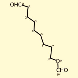 O=CCCCCCCCCOC=O